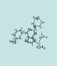 CC(C1CC1)n1cnc2c(-c3cccc(O)c3)nc(N3CCOCC3)nc21